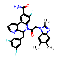 Cc1cc2nc(C(F)(F)F)n(CC(=O)NC(Cc3cc(F)cc(F)c3)c3ncccc3-c3ccc(F)c(C(N)=O)c3)c2cc1C